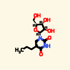 CCCc1cn([C@@H]2O[C@H](CO)[C@H](O)[C@H]2O)c(=O)[nH]c1=O